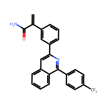 C=C(C(N)=O)c1cccc(-c2cc3ccccc3c(-c3ccc(C(F)(F)F)cc3)n2)c1